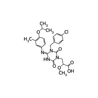 COC(Cn1c(=O)[nH]c(=Nc2ccc(OC(C)C)c(C)c2)n(Cc2ccc(Cl)cc2)c1=O)C(=O)O